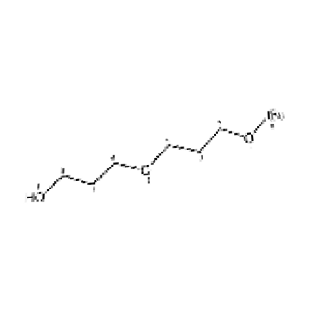 CC(C)(C)OCCCOCCCO